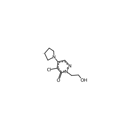 O=c1c(Cl)c(N2C[CH]CC2)cnn1CCO